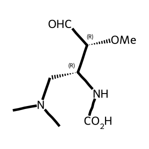 CO[C@@H](C=O)[C@@H](CN(C)C)NC(=O)O